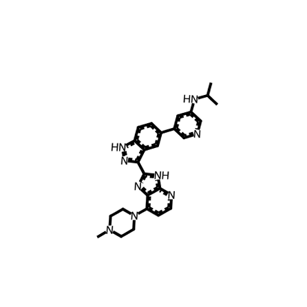 CC(C)Nc1cncc(-c2ccc3[nH]nc(-c4nc5c(N6CCN(C)CC6)ccnc5[nH]4)c3c2)c1